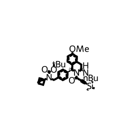 CCCCN[C@H]1Cc2cc(OC)ccc2[C@H](c2ccc(CN(C(=O)OC(C)(C)C)C34CC(C3)C4)cc2)N1C(=O)C#C[Si](C)(C)C